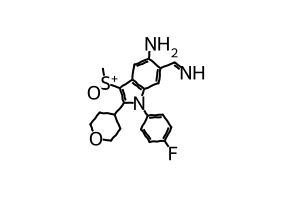 C[S+]([O-])c1c(C2CCOCC2)n(-c2ccc(F)cc2)c2cc(C=N)c(N)cc12